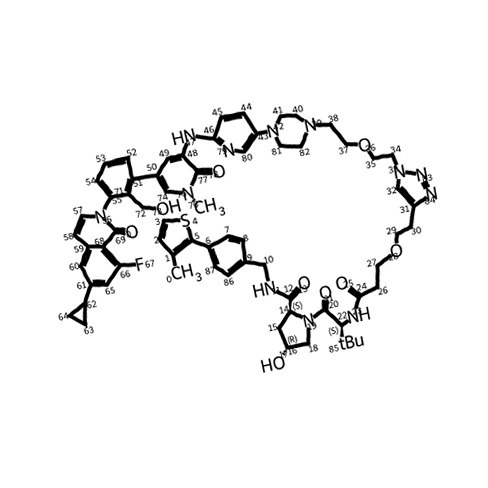 Cc1ccsc1-c1ccc(CNC(=O)[C@@H]2C[C@@H](O)CN2C(=O)[C@@H](NC(=O)CCOCCc2cn(CCOCCN3CCN(c4ccc(Nc5cc(-c6cccc(-n7ccc8cc(C9CC9)cc(F)c8c7=O)c6CO)cn(C)c5=O)nc4)CC3)nn2)C(C)(C)C)cc1